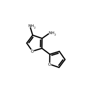 Nc1coc(-c2ccco2)c1N